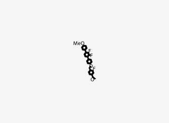 COc1ccc(-c2ccc(-c3ccc(OCc4ccc(C5CO5)cc4F)cc3)c(F)c2F)cc1